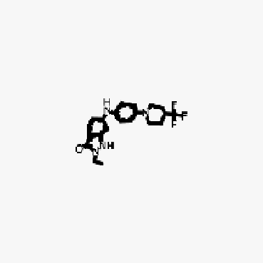 CCn1[nH]c2cc(Nc3ccc(N4CCC(C(F)(F)F)CC4)cc3)ccc2c1=O